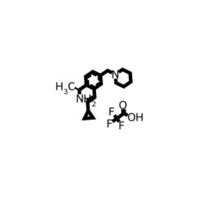 C[C@H](N)c1ccc(CN2CCCCC2)cc1/C=C/C1CC1.O=C(O)C(F)(F)F